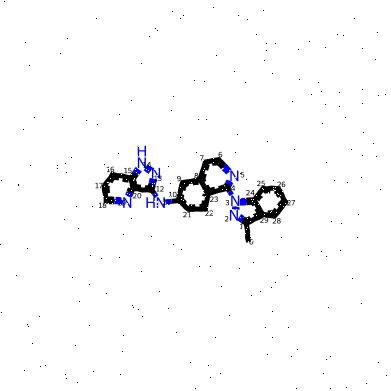 Cc1nn(-c2nccc3cc(Nc4n[nH]c5cccnc45)ccc23)c2ccccc12